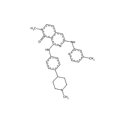 Cc1ccnc(Nc2cc3ccn(C)c(=O)c3c(Nc3ccc(C4CCN(C)CC4)cc3)n2)c1